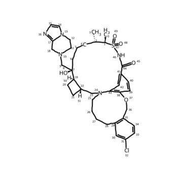 C[C@@H]1[C@@H](C)CCC[C@@](O)(CN2CCn3ccnc3C2)[C@@H]2CC[C@H]2CN2CCCCc3cc(Cl)ccc3COc3ccc(cc32)C(=O)NS1(=O)=O